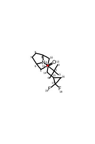 CC(C)(C)N1CC2CCC(C1)N2C(=O)CC1CC1(F)F